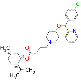 CC(C)[C@H]1CC[C@H](C)C[C@@H]1OC(=O)CCCN1CCC(OC(c2ccc(Cl)cc2)c2ccccn2)CC1